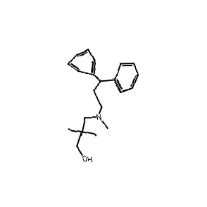 CN(CCC(c1ccccc1)c1ccccc1)CC(C)(C)CO